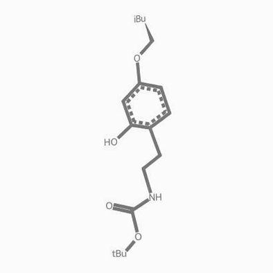 CC[C@H](C)COc1ccc(CCNC(=O)OC(C)(C)C)c(O)c1